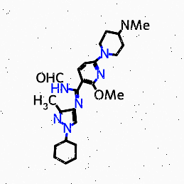 CNC1CCN(c2ccc(/C(=N/c3cn(C4CCCCC4)nc3C)NC=O)c(OC)n2)CC1